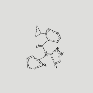 O=C(c1ccccc1C1CC1)N(c1ccccn1)c1nnc[nH]1